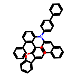 c1ccc(-c2ccc(N(c3ccc4ccccc4c3)c3cccc(-c4ccccc4)c3-c3cccc4c3oc3ccccc34)cc2)cc1